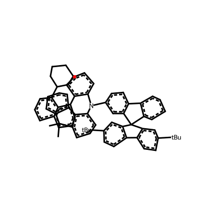 CC(C)(C)c1ccc2c(c1)C1(c3ccccc3-c3ccc(N(c4ccccc4-c4cccc5cccc(C6CCCCC6)c45)c4cccc5c4-c4ccccc4C5(C)C)cc31)c1cc(C(C)(C)C)ccc1-2